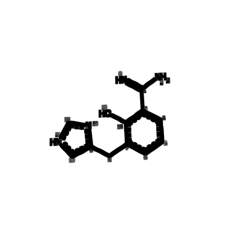 N=C(N)c1cccc(Cc2c[nH]cn2)c1O